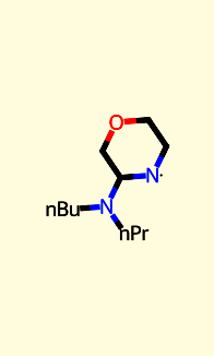 CCCCN(CCC)C1COCC[N]1